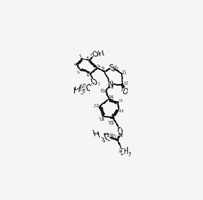 COc1cccc(O)c1C1SCC(=O)N1Cc1ccc(OC(C)C)cc1